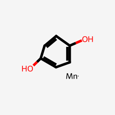 Oc1ccc(O)cc1.[Mn]